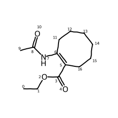 CCOC(=O)C1=C(NC(C)=O)CCCCCC1